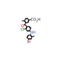 Cc1cc(Br)ccc1Nc1ccc(C(=O)c2cc(C(=O)O)ccc2C)c(Cl)c1